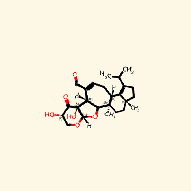 CC(C)C1=C2[C@H]3CC=C(C=O)[C@@H]4C(O[C@@H]5OC[C@@H](O)C(=O)[C@@]54O)[C@]3(C)CC[C@@]2(C)CC1